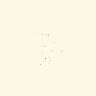 CC(C)(C)[Si](C)(C)O[C@H]1CC[C@](C)(C2CC[C@@]3(C)C(CCC34OCCO4)C2C(O)CO)[C@@H](O)C1